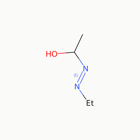 CC/N=N/C(C)O